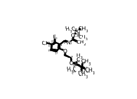 C=C(/N=C/c1c(OCCO[Si](C)(C)C(C)(C)C)ccc(Cl)c1F)O[Si](C)(C)C